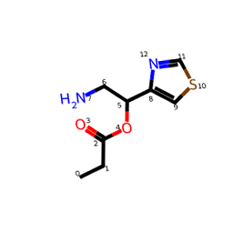 CCC(=O)OC(CN)c1cscn1